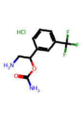 Cl.NCC(OC(N)=O)c1cccc(C(F)(F)F)c1